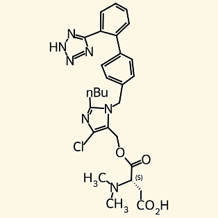 CCCCc1nc(Cl)c(COC(=O)[C@H](CC(=O)O)N(C)C)n1Cc1ccc(-c2ccccc2-c2nn[nH]n2)cc1